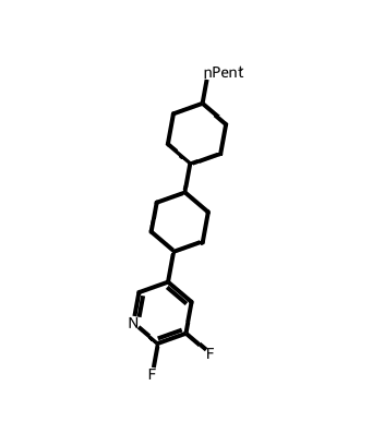 CCCCCC1CCC(C2CCC(c3cnc(F)c(F)c3)CC2)CC1